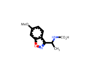 COc1ccc2c(C(C)NC(=O)O)noc2c1